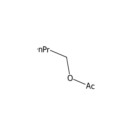 CC[CH]COC(C)=O